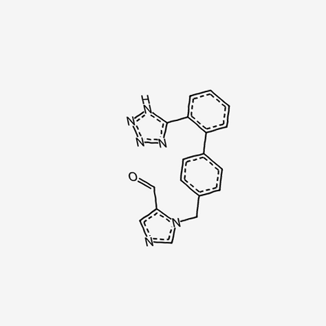 O=Cc1cncn1Cc1ccc(-c2ccccc2-c2nnn[nH]2)cc1